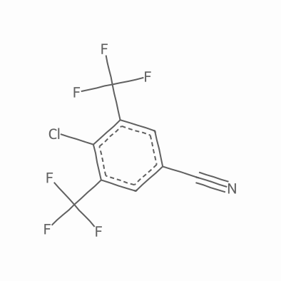 N#Cc1cc(C(F)(F)F)c(Cl)c(C(F)(F)F)c1